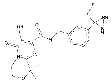 CC1(C)OCCn2c1nc(C(=O)NCc1cccc(C3(CF)NN3)c1)c(O)c2=O